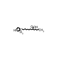 C1=CC=CNC=C1.CCCCCCCCCC(CCCCC)C(=O)O